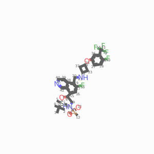 CC(C)(C)[Si](C)(C)OC(CNS(C)(=O)=O)c1cc(F)c(CN[C@H]2C[C@H](Oc3ccc(F)c(C(F)(F)F)c3)C2)c2ccncc12